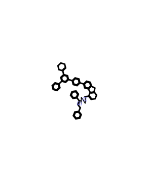 C1=C(/C=N/C(=C\Cc2ccccc2)c2ccccc2)C2=C(CC1)Cc1ccc(-c3ccc(-c4cc(C5=CCCCC5)cc(-c5ccccc5)c4)cc3)cc12